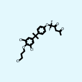 CC(=O)CC(=O)C(F)(F)Oc1ccc(C(C)(C)c2cc(Cl)c(OCCCCl)c(Cl)c2)cc1